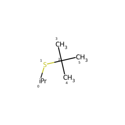 [CH2]C(C)SC(C)(C)C